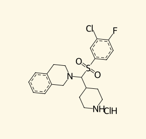 Cl.O=S(=O)(c1ccc(F)c(Cl)c1)C(C1CCNCC1)N1CCc2ccccc2C1